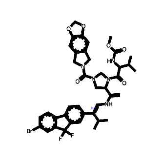 C=C(N/C=C(/c1ccc2c(c1)C(F)(F)c1cc(Br)ccc1-2)C(C)C)C1CN(C(=O)N2Cc3cc4c(cc3C2)OCO4)CN1C(=O)C(NC(=O)OC)C(C)C